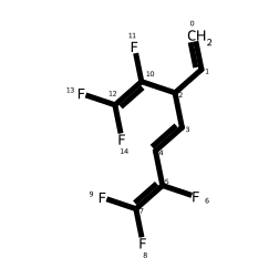 C=CC(C=CC(F)=C(F)F)C(F)=C(F)F